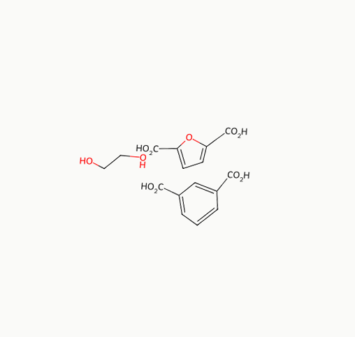 O=C(O)c1ccc(C(=O)O)o1.O=C(O)c1cccc(C(=O)O)c1.OCCO